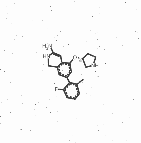 Cc1cccc(F)c1-c1cc2c(c(O[C@@H]3CCNC3)c1)C=C(N)NC2